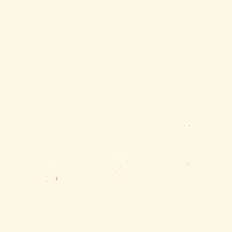 CC(=O)CC(=O)C1=CC=CCC1=S